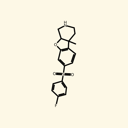 CC12CCNCC1Oc1cc(S(=O)(=O)c3ccc(F)cc3)ccc12